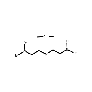 CCN(CC)CC[N-]CCN(CC)CC.[CH3][Ga+][CH3]